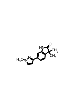 Cn1ccc(-c2ccc3c(c2)NC(=O)C3(C)C)n1